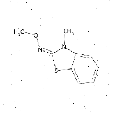 CON=c1sc2ccccc2n1C